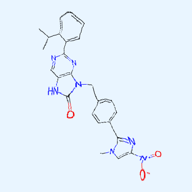 CC(C)c1ccccc1-c1ncc2[nH]c(=O)n(Cc3ccc(-c4nc([N+](=O)[O-])cn4C)cc3)c2n1